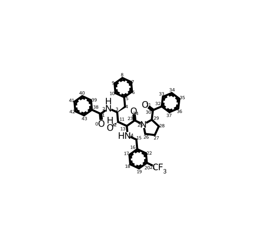 O=C(N[C@@H](Cc1ccccc1)[C@@H](O)C(NCc1cccc(C(F)(F)F)c1)C(=O)N1CCCC1C(=O)c1ccccc1)c1ccccc1